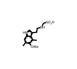 COc1c(C)cc2[nH]cc(CCNCS(=O)(=O)O)c2c1C